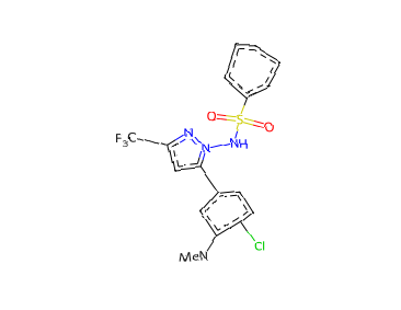 CNc1cc(-c2cc(C(F)(F)F)nn2NS(=O)(=O)c2ccccc2)ccc1Cl